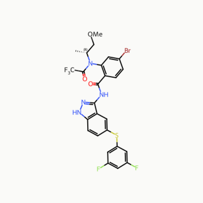 COC[C@@H](C)N(C(=O)C(F)(F)F)c1cc(Br)ccc1C(=O)Nc1n[nH]c2ccc(Sc3cc(F)cc(F)c3)cc12